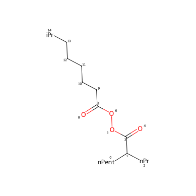 CCCCCC(CCC)C(=O)OOC(=O)CCCCCC(C)C